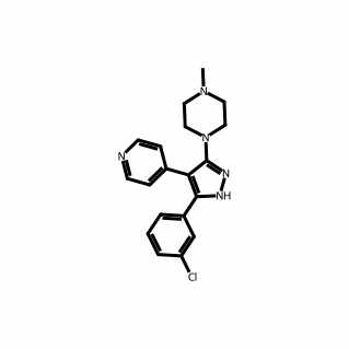 CN1CCN(c2n[nH]c(-c3cccc(Cl)c3)c2-c2ccncc2)CC1